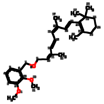 COc1cccc(COCC=C(C)C=CC=C(C)C=CC2=C(C)CCCC2(C)C)c1OC